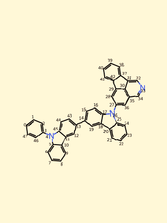 c1ccc(-n2c3ccccc3c3cc(-c4ccc5c(c4)c4ccccc4n5-c4cc5c6c(cncc6c4)-c4ccccc4-5)ccc32)cc1